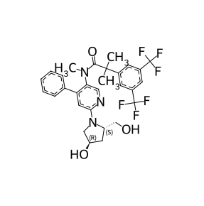 CN(C(=O)C(C)(C)c1cc(C(F)(F)F)cc(C(F)(F)F)c1)c1cnc(N2C[C@H](O)C[C@H]2CO)cc1-c1ccccc1